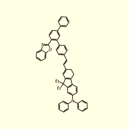 CCC1(CC)C2=C(CCC(/C=C/c3ccc(-c4cc(-c5ccccc5)ccc4-c4nc5ccccc5o4)cc3)=C2)c2ccc(N(c3ccccc3)c3ccccc3)cc21